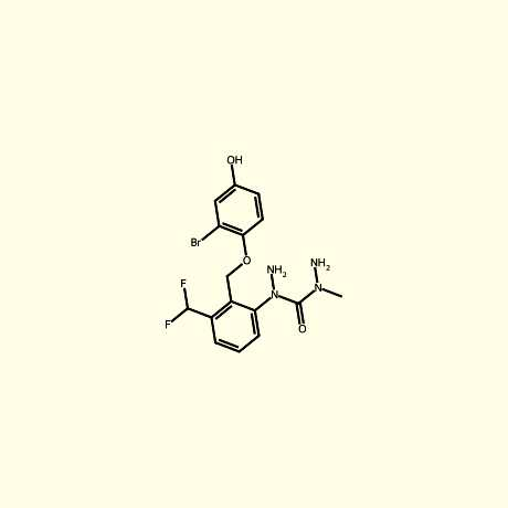 CN(N)C(=O)N(N)c1cccc(C(F)F)c1COc1ccc(O)cc1Br